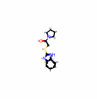 O=C(CSc1nc2ccccc2[nH]1)N1CCCC1